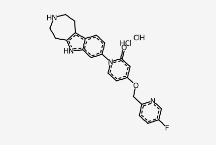 Cl.Cl.O=c1cc(OCc2ccc(F)cn2)ccn1-c1ccc2c3c([nH]c2c1)CCNCC3